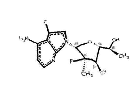 C[C@H](O)[C@H]1O[C@@H](n2cc(F)c3c(N)ccnc32)[C@](C)(F)[C@@H]1O